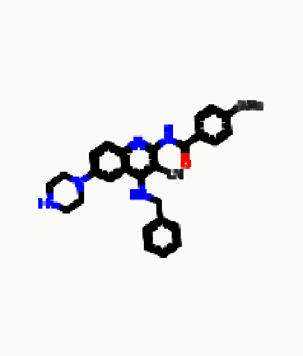 COc1ccc(C(=O)Nc2nc3ccc(N4CCNCC4)cc3c(NCc3ccccc3)c2C#N)cc1